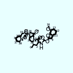 CCCC(NC(=O)Oc1cc2cccc(OC)c2o1)C(=O)N1CCC2C1C(=O)CN2S(=O)(=O)Cc1ccccn1